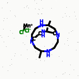 CC1CN2CCNC(C)CN(CCN1)CC(C)NCC2.[Cl-].[Cl][Mn+]